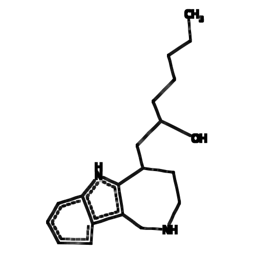 CCCCCC(O)CC1CCNCc2c1[nH]c1ccccc21